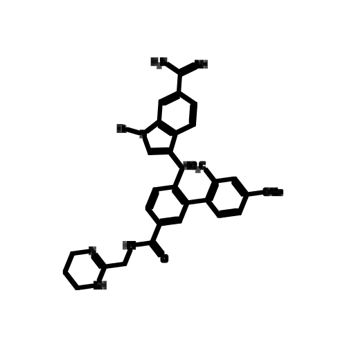 CCn1cc(Cc2ccc(C(=O)NCC3=NCCCN3)cc2-c2ccc(OC)cc2C(=O)O)c2ccc(C(=N)N)cc21